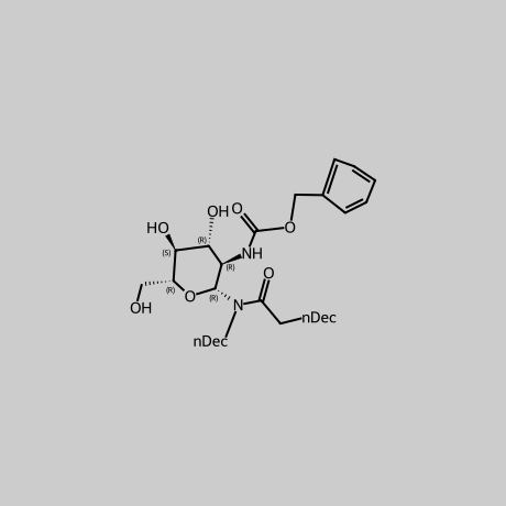 CCCCCCCCCCCC(=O)N(CCCCCCCCCC)[C@@H]1O[C@H](CO)[C@@H](O)[C@H](O)[C@H]1NC(=O)OCc1ccccc1